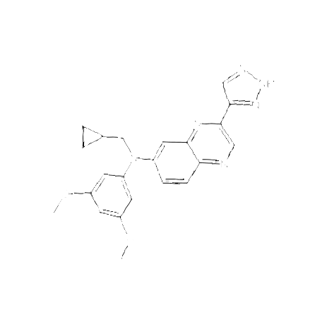 COc1cc(OC)cc(N(CC2CC2)c2ccc3ncc(-c4cn[nH]n4)nc3c2)c1